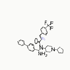 NC(c1ccc(-c2ccccc2)cc1)N(C(=O)/C=C/c1ccc(C(F)(F)F)cc1)C1CCN(C2CCCC2)CC1